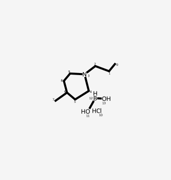 CCCN1CCC(C)CC1.Cl.OBO